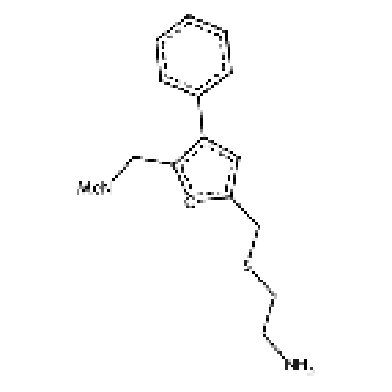 CNCc1oc(CSCCN)cc1-c1ccccc1